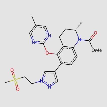 COC(=O)N1c2ccc(-c3cnn(CCS(C)(=O)=O)c3)c(Oc3ncc(C)cn3)c2CC[C@@H]1C